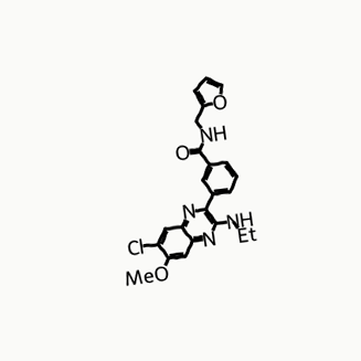 CCNc1nc2cc(OC)c(Cl)cc2nc1-c1cccc(C(=O)NCc2ccco2)c1